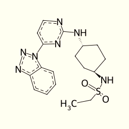 CCS(=O)(=O)N[C@H]1CC[C@H](Nc2nccc(-n3nnc4ccccc43)n2)CC1